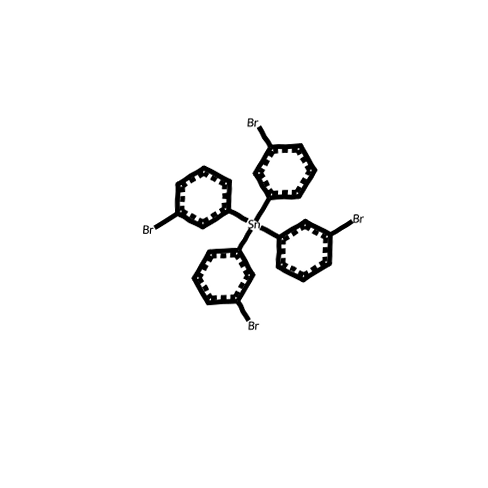 Brc1ccc[c]([Sn]([c]2cccc(Br)c2)([c]2cccc(Br)c2)[c]2cccc(Br)c2)c1